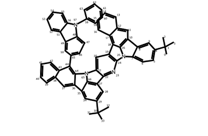 CC(C)(C)c1ccc2c(c1)c1cc3ccccc3c3c4cc5c(nc4n2c13)c1cc(C(C)(C)C)cc2c3cc4ccccc4c(-c4ccc6c(c4)c4ccccc4n6-c4ccccc4)c3n5c21